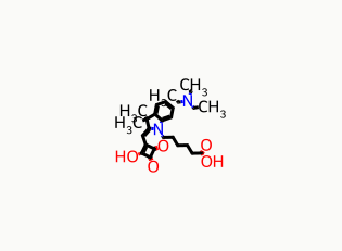 CC1(C)C(=Cc2c(O)c(=O)c2=O)N(CCCCCC(=O)O)c2ccccc21.CCN(CC)CC